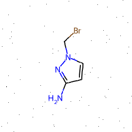 Nc1ccn(CBr)n1